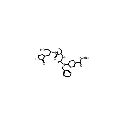 CC(C)CC(NC(=O)N(Cc1ccccc1)C1CCN(C(=O)OC(C)(C)C)CC1)C(=O)NC(CO)CC1CCNC1=O